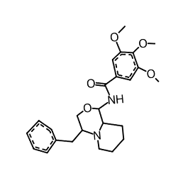 COc1cc(C(=O)NC2OCC(Cc3ccccc3)N3CCCCC23)cc(OC)c1OC